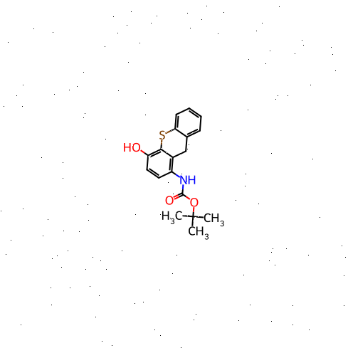 CC(C)(C)OC(=O)Nc1ccc(O)c2c1Cc1ccccc1S2